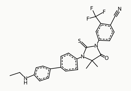 CCNc1ccc(-c2ccc(N3C(=S)N(c4ccc(C#N)c(C(F)(F)F)c4)C(=O)C3(C)C)cc2)cc1